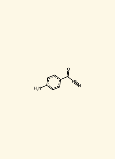 N#[N+]C(=O)c1ccc(N)cc1